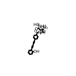 CC(O)(C(F)F)C(NC(=O)c1ccc(C#CC#Cc2ccccc2O)cc1)C(=O)NO